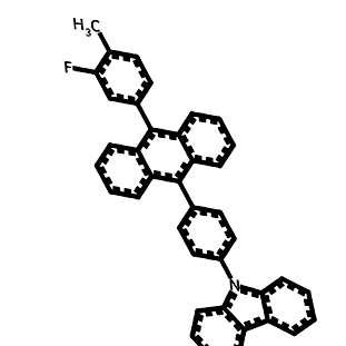 Cc1ccc(-c2c3ccccc3c(-c3ccc(-n4c5ccccc5c5ccccc54)cc3)c3ccccc23)cc1F